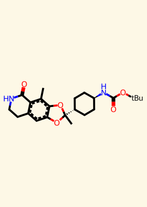 Cc1c2c(cc3c1C(=O)NCC3)OC(C)([C@H]1CC[C@H](NC(=O)OC(C)(C)C)CC1)O2